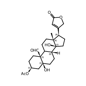 CC(=O)O[C@H]1CC[C@]2(C=O)C3CC[C@]4(C)[C@@H](C5=CC(=O)OC5)CC[C@]4(O)[C@@H]3CC[C@]2(O)C1